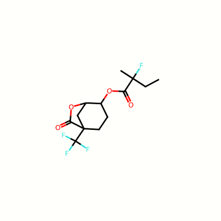 CCC(C)(F)C(=O)OC1CCC2(C(F)(F)F)CC1OC2=O